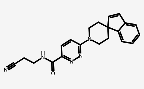 N#CCCNC(=O)c1ccc(N2CCC3(C=Cc4ccccc43)CC2)nn1